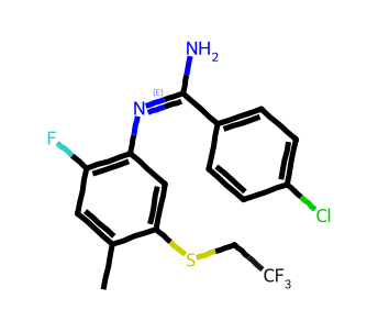 Cc1cc(F)c(/N=C(/N)c2ccc(Cl)cc2)cc1SCC(F)(F)F